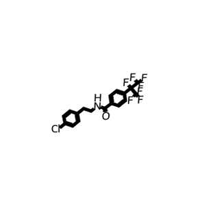 O=C(NCCc1ccc(Cl)cc1)c1ccc(C(F)(C(F)(F)F)C(F)(F)F)cc1